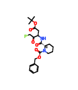 CC(C)(C)OC(=O)CC(NC(=O)[C@@H]1CCCCN1C(=O)OCc1ccccc1)C(=O)CF